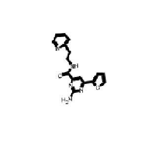 Nc1nc(C(=O)NCCc2ccccn2)cc(-c2ccco2)n1